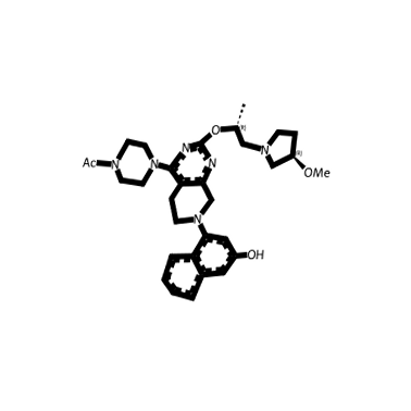 CO[C@@H]1CCN(C[C@@H](C)Oc2nc3c(c(N4CCN(C(C)=O)CC4)n2)CCN(c2cc(O)cc4ccccc24)C3)C1